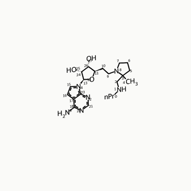 CCCNCC1(C)CCCN1CC[C@H]1O[C@@H](n2ccc3c(N)ncnc32)[C@H](O)[C@@H]1O